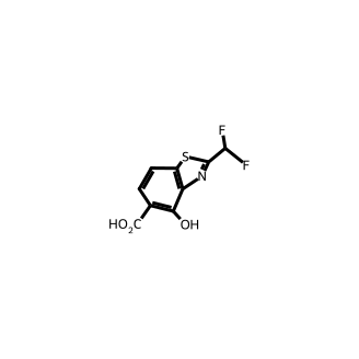 O=C(O)c1ccc2sc(C(F)F)nc2c1O